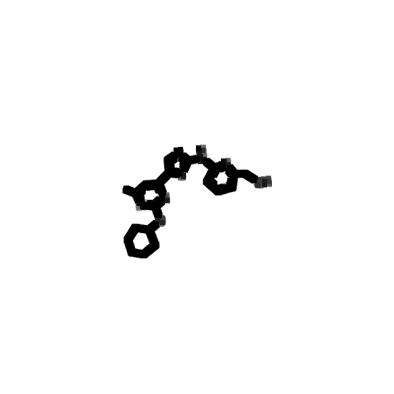 Cc1cc(-c2cnc(Nc3cccc(CO)n3)s2)nc(OC2CCCCC2)n1